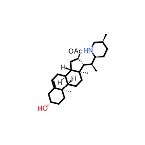 CC(=O)O[C@@H]1C[C@H]2[C@@H]3CC=C4C[C@@H](O)CC[C@]4(C)[C@H]3CC[C@]2(C)[C@H]1[C@H](C)[C@@H]1CC[C@H](C)CN1